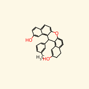 Cc1cccc(C2C3=C4C=C(O)CCC4=C=C=C3Oc3ccc4ccc(O)cc4c32)c1